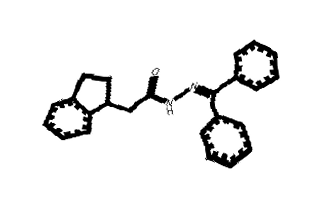 O=C(CC1CCc2ccccc21)NN=C(c1ccccc1)c1ccccc1